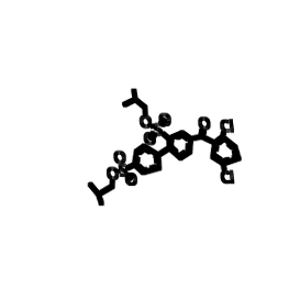 CC(C)COS(=O)(=O)c1ccc(-c2ccc(C(=O)c3cc(Cl)ccc3Cl)cc2S(=O)(=O)OCC(C)C)cc1